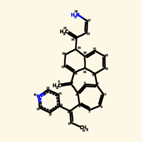 C=C1C2=C=C(C=CC=C2/C(=C\C)c2ccncc2)C2C=CC=C3C(C(=C)/C=C\N)CC=C1C32